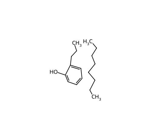 CCCCCCCC.CCCc1ccccc1O